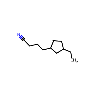 [CH2]CC1C[CH]C(CCCC#N)C1